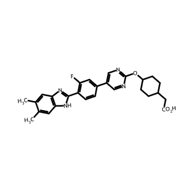 Cc1cc2nc(-c3ccc(-c4cnc(OC5CCC(CC(=O)O)CC5)nc4)cc3F)[nH]c2cc1C